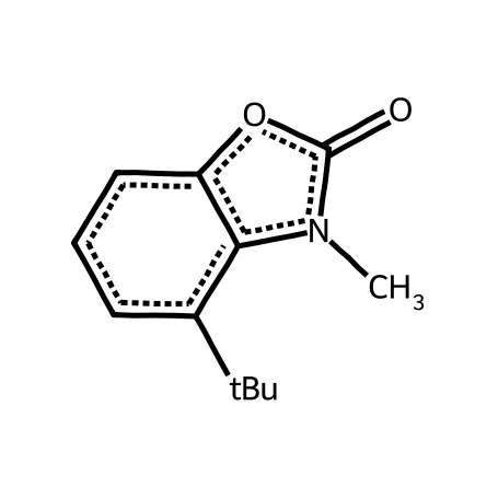 Cn1c(=O)oc2cccc(C(C)(C)C)c21